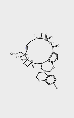 C[C@@H]1[C@@H](C)C/C=C/[C@@](O)(CC=O)[C@@H]2CC[C@H]2CN2C[C@@]3(CCCc4cc(Cl)ccc43)COc3ccc(cc32)C(=O)NS1(=O)=O